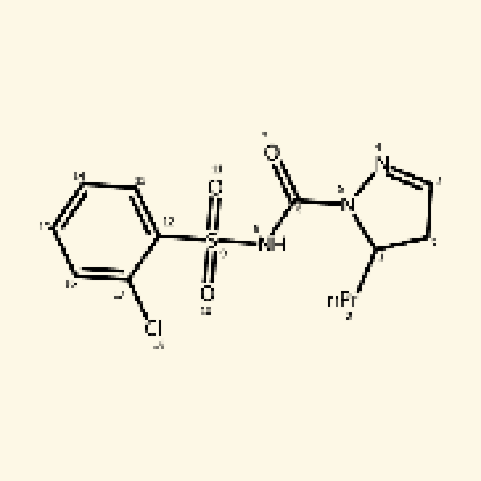 CCCC1CC=NN1C(=O)NS(=O)(=O)c1ccccc1Cl